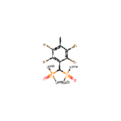 COP(=O)(OC)C(c1c(Br)c(Br)c(C)c(Br)c1Br)P(=O)(OC)OC